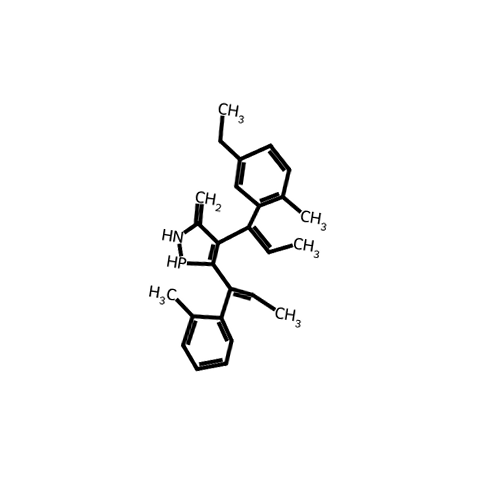 C=C1NPC(C(=C/C)/c2ccccc2C)=C1/C(=C/C)c1cc(CC)ccc1C